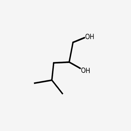 CC(C)CC(O)CO